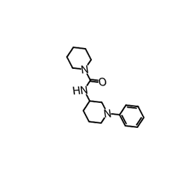 O=C(NC1CCCN(c2ccccc2)C1)N1CCCCC1